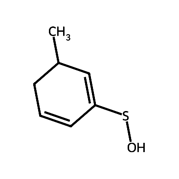 CC1C=C(SO)C=CC1